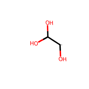 O[CH]C(O)O